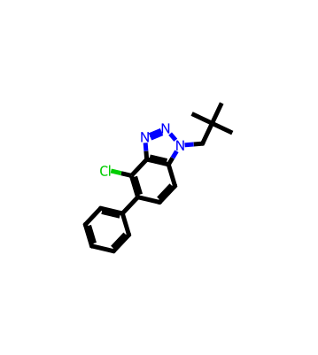 CC(C)(C)Cn1nnc2c(Cl)c(-c3ccccc3)ccc21